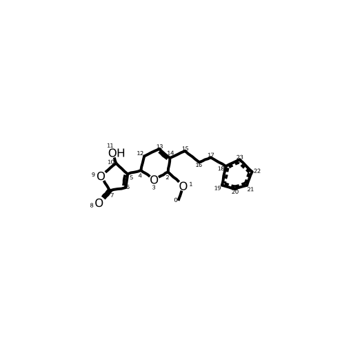 COC1OC(C2=CC(=O)OC2O)CC=C1CCCc1ccccc1